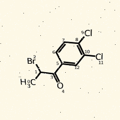 CC(Br)C(=O)c1ccc(Cl)c(Cl)c1